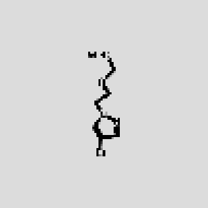 CCc1cnn(CCOCOC)c1